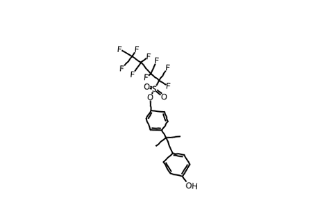 CC(C)(c1ccc(O)cc1)c1ccc(OS(=O)(=O)C(F)(F)C(F)(F)C(F)(F)C(F)(F)F)cc1